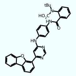 CC(C)(C)N(C(=O)O)c1ccccc1C(=O)Nc1ccc(Nc2cc(-c3cccc4c3oc3ccccc34)ncn2)cc1